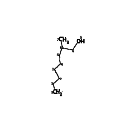 [CH2]CCCCCC(C)CO